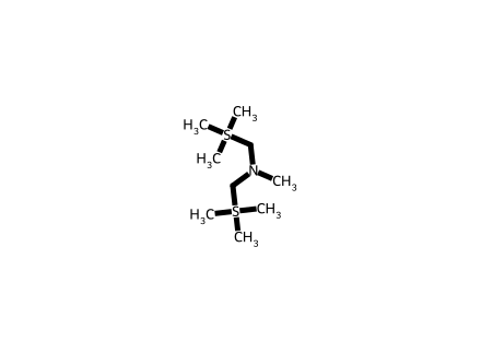 CN(CS(C)(C)C)CS(C)(C)C